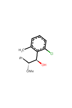 CO[C@H](C(C)C)[C@H](O)c1c(C)cccc1Cl